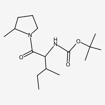 CCC(C)C(NC(=O)OC(C)(C)C)C(=O)N1CCCC1C